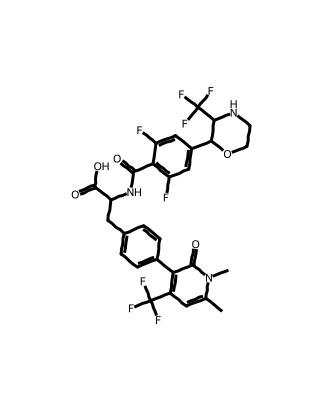 Cc1cc(C(F)(F)F)c(-c2ccc(CC(NC(=O)c3c(F)cc(C4OCCNC4C(F)(F)F)cc3F)C(=O)O)cc2)c(=O)n1C